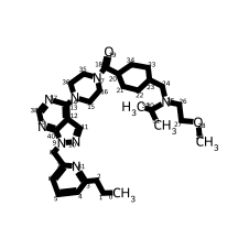 CCCc1cccc(Cn2ncc3c(N4CCN(C(=O)C5CCC(CN(CCOC)C(C)C)CC5)CC4)ncnc32)n1